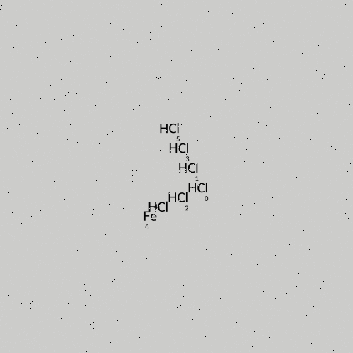 Cl.Cl.Cl.Cl.Cl.Cl.[Fe]